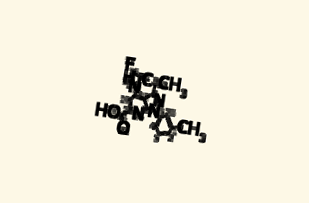 Cc1cccc(-n2nc(C(C)C)c3c(N4CC(F)C4)cc(C(=O)O)nc32)c1